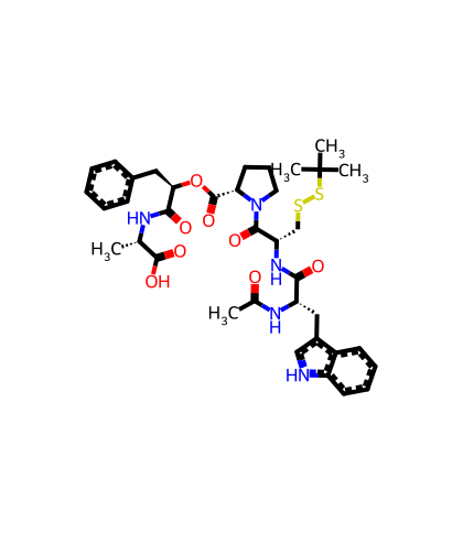 CC(=O)N[C@@H](Cc1c[nH]c2ccccc12)C(=O)N[C@@H](CSSC(C)(C)C)C(=O)N1CCC[C@H]1C(=O)O[C@H](Cc1ccccc1)C(=O)N[C@@H](C)C(=O)O